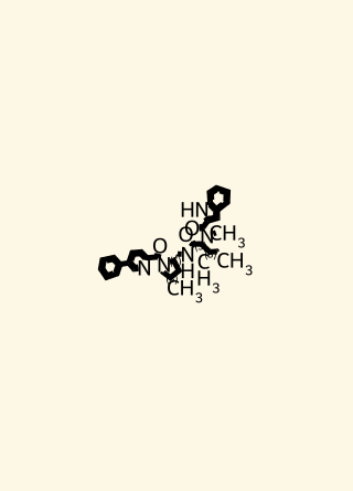 CC[C@H](C)[C@@H](C(=O)NC[C@@H]1C[C@H](C)CN1C(=O)c1ccc(-c2ccccc2)cn1)N(C)C(=O)c1cc2ccccc2[nH]1